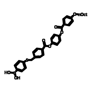 CCCCCCCCOc1ccc(C(=O)Oc2ccc(OC(=O)c3ccc(CSc4ccc(B(O)O)cc4)cc3)cc2)cc1